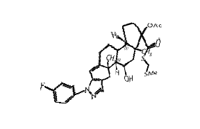 CSCSC(=O)C1(OC(C)=O)CC[C@H]2C3CCC4=Cc5c(cnn5-c5ccc(F)cc5)CC4(C)[C@H]3C(O)CC21C